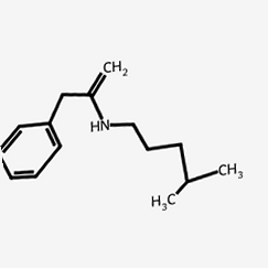 C=C(Cc1ccccc1)NCCCC(C)C